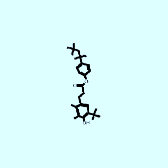 Cc1c(CCC(=O)Oc2ccc(C(C)(C)CC(C)(C)C)cc2)cc(C(C)(C)C)c(O)c1C